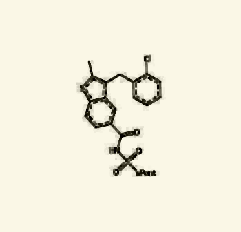 CCCCCS(=O)(=O)NC(=O)c1ccc2sc(C)c(Cc3ccccc3Cl)c2c1